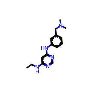 CCNc1cc(Nc2cccc(CN(C)C)c2)ncn1